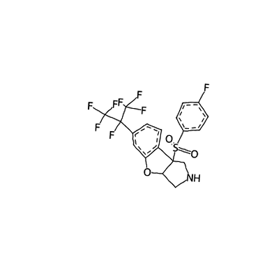 O=S(=O)(c1ccc(F)cc1)C12CNCC1Oc1cc(C(F)(C(F)(F)F)C(F)(F)F)ccc12